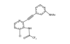 CC(=O)Nc1cc(C#Cc2nccc(Cl)c2NC(=O)C(F)(F)F)ccn1